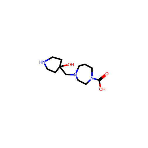 O=C(O)N1CCCN(CC2(O)CCNCC2)CC1